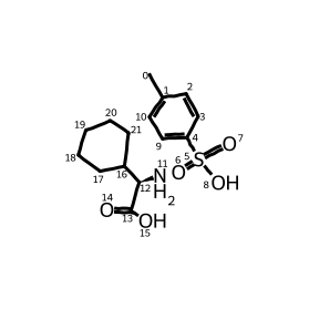 Cc1ccc(S(=O)(=O)O)cc1.N[C@@H](C(=O)O)C1CCCCC1